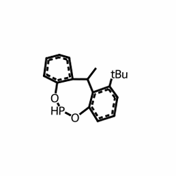 CC1c2ccccc2OPOc2cccc(C(C)(C)C)c21